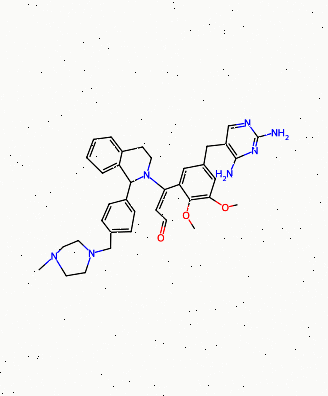 COc1cc(Cc2cnc(N)nc2N)cc(C(=CC=O)N2CCc3ccccc3C2c2ccc(CN3CCN(C)CC3)cc2)c1OC